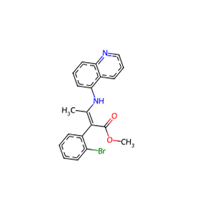 COC(=O)C(=C(C)Nc1cccc2ncccc12)c1ccccc1Br